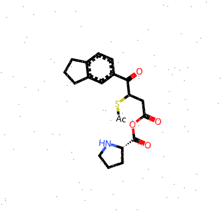 CC(=O)SC(CC(=O)OC(=O)[C@@H]1CCCN1)C(=O)c1ccc2c(c1)CCC2